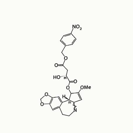 COC1=CC23CCCN2CCc2cc4c(cc2[C@@H]3C1OC(=O)[C@H](O)CC(=O)OCc1ccc([N+](=O)[O-])cc1)OCO4